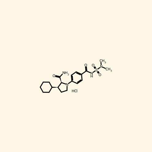 CN(C)S(=O)(=O)NC(=O)c1ccc(N2CC[C@@H](C3CCCCC3)[C@H]2C(N)=O)cc1.Cl